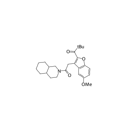 COc1ccc2oc(C(=O)C(C)(C)C)c(CC(=O)N3CCC4CCCCC4C3)c2c1